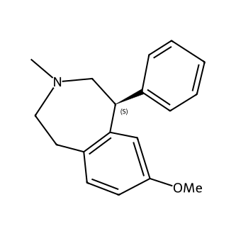 COc1ccc2c(c1)[C@H](c1ccccc1)CN(C)CC2